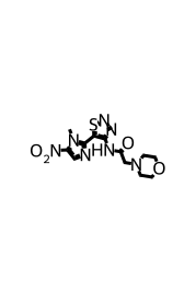 Cn1c([N+](=O)[O-])cnc1-c1snnc1NC(=O)CN1CCOCC1